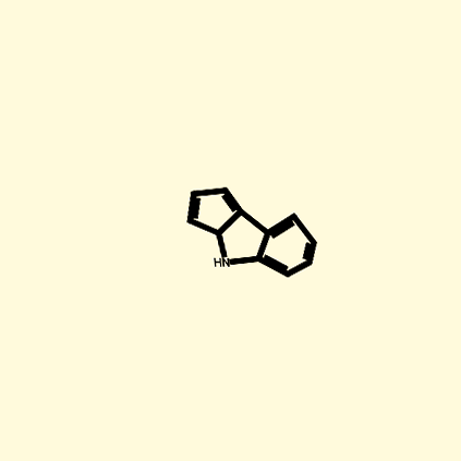 C1=CC2Nc3ccccc3C2=C1